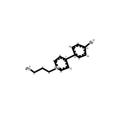 CC(C)CCC[n+]1ccc(-c2ccc(Br)cc2)cc1